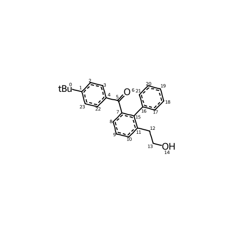 CC(C)(C)c1ccc(C(=O)c2cccc(CCO)c2-c2ccccc2)cc1